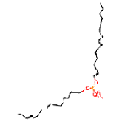 CCCCCCCCCCCCCOP(O)OCCCCCCCCCCCC